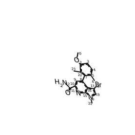 COc1ccc(C)c(-c2cc(C(N)=O)nc3c2c(Br)cn3C)c1C